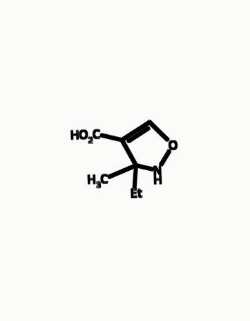 CCC1(C)NOC=C1C(=O)O